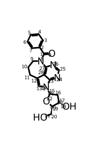 O=C(c1ccccc1)N1CCCc2cn([C@H]3C[C@H](O)[C@@H](CO)O3)c3ncnc1c23